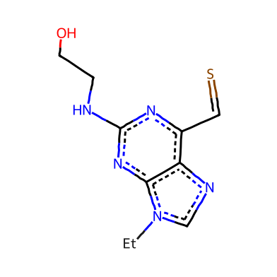 CCn1cnc2c(C=S)nc(NCCO)nc21